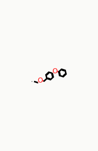 [CH2]COCc1ccc(Oc2ccccc2)cc1